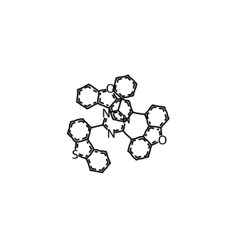 c1ccc(-c2nc(-c3cccc4sc5ccccc5c34)nc(-c3cccc4oc5cccc(-c6ccc7c(c6)oc6ccccc67)c5c34)n2)cc1